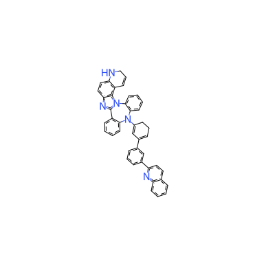 C1=Cc2c(ccc3nc4n(c23)-c2ccccc2N(C2=CC(c3cccc(-c5ccc6ccccc6n5)c3)=CCC2)c2ccccc2-4)NC1